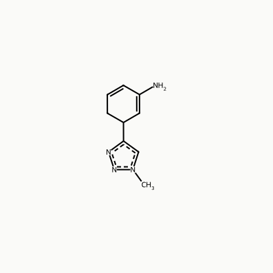 Cn1cc(C2C=C(N)C=CC2)nn1